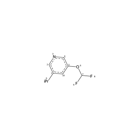 CC(C)c1cn[c]c(OC(F)F)c1